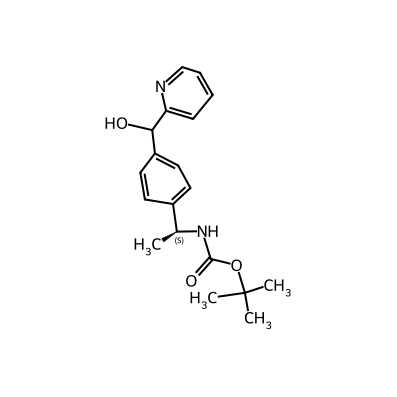 C[C@H](NC(=O)OC(C)(C)C)c1ccc(C(O)c2ccccn2)cc1